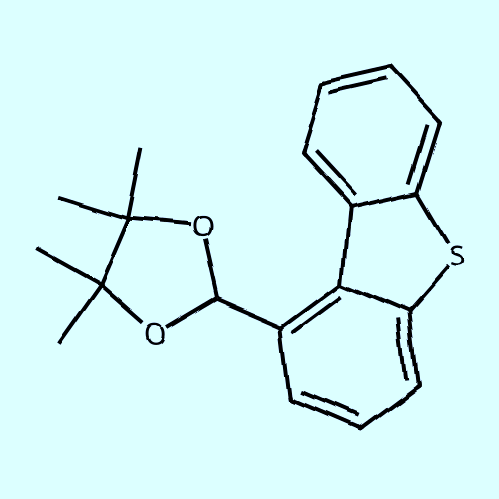 CC1(C)OC(c2cccc3sc4ccccc4c23)OC1(C)C